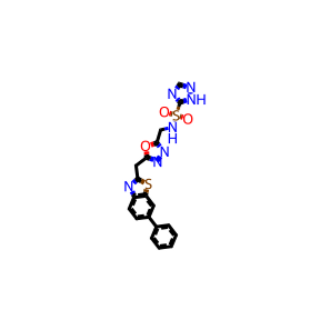 O=S(=O)(NCc1nnc(Cc2nc3ccc(-c4ccccc4)cc3s2)o1)c1ncn[nH]1